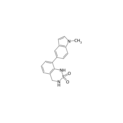 Cn1ccc2cc(-c3cccc4c3NS(=O)(=O)NC4)ccc21